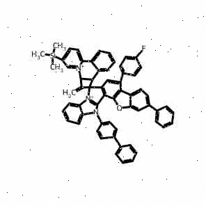 C=C1C2C(c3ccccc3-c3ccc([Si](C)(C)C)c[n+]32)C12c1cc(-c3ccc(F)cc3)c3c(oc4cc(-c5ccccc5)ccc43)c1-c1n(-c3ccc(-c4ccccc4)cc3)c3ccccc3[n+]12